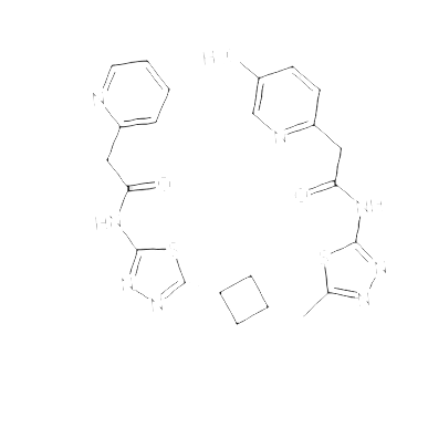 Cc1ccc(CC(=O)Nc2nnc(C[C@H]3C[C@@H](c4nnc(NC(=O)Cc5ccccn5)s4)C3)s2)nc1